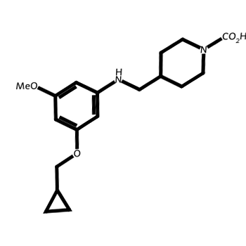 COc1cc(NCC2CCN(C(=O)O)CC2)cc(OCC2CC2)c1